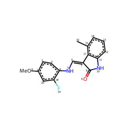 COc1ccc(NC=C2C(=O)Nc3cccc(C)c32)c(F)c1